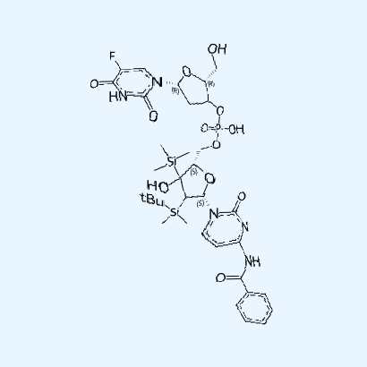 CC(C)(C)[Si](C)(C)C1[C@@H](n2ccc(NC(=O)c3ccccc3)nc2=O)O[C@@H](COP(=O)(O)OC2C[C@H](n3cc(F)c(=O)[nH]c3=O)O[C@@H]2CO)C1(O)[Si](C)(C)C